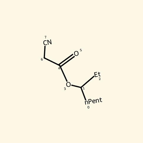 CCCCCC(CC)OC(=O)CC#N